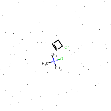 C1=CCC1.C[N+](C)(C)Cl.[Cl-]